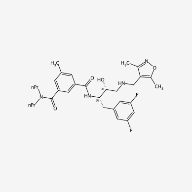 CCCN(CCC)C(=O)c1cc(C)cc(C(=O)N[C@@H](Cc2cc(F)cc(F)c2)[C@H](O)CNCc2c(C)noc2C)c1